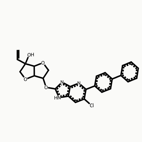 C=CC1(O)COC2C(Oc3nc4nc(-c5ccc(-c6ccccc6)cc5)c(Cl)cc4[nH]3)COC21